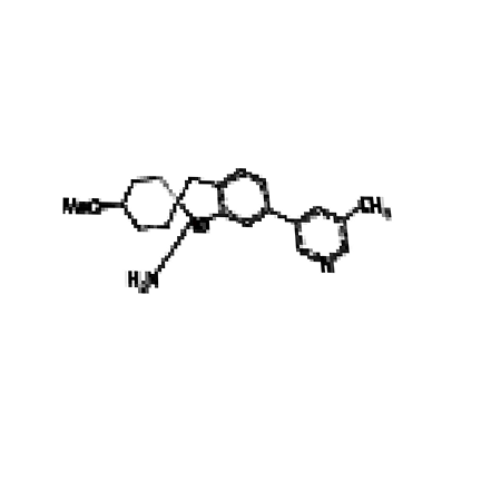 CO[C@H]1CC[C@]2(CC1)Cc1ccc(-c3cncc(C)c3)cc1[C@@]21COC(N)=N1